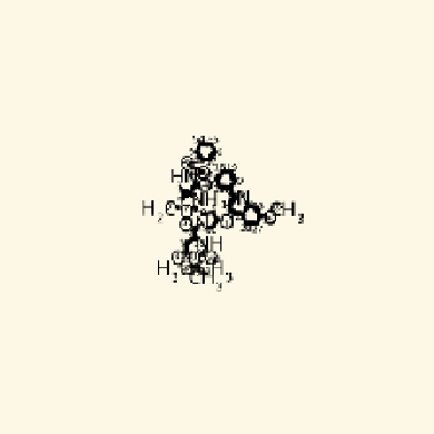 C=C[C@@H]1C[C@]1(NC(=O)[C@@H]1C[C@@H](Oc2cc(-c3ccccc3)nc3cc(OC)ccc23)CN1C(=O)C(CC=O)NC(=O)OC(C)(C)C)C(=O)NS(=O)(=O)c1ccccc1